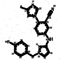 Cc1cn(-c2ccc(Nc3ccn(Cc4ccc(F)cc4)n3)cc2C#N)cn1